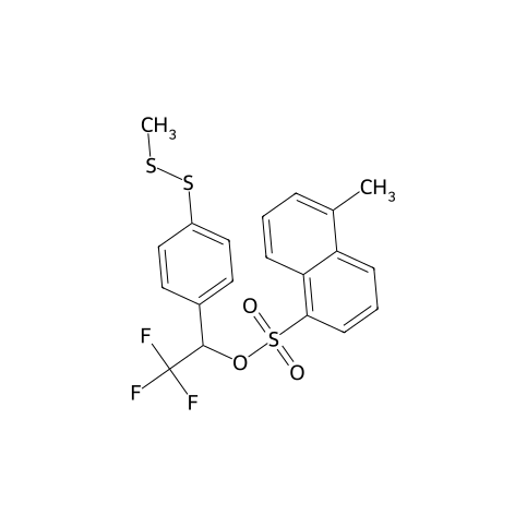 CSSc1ccc(C(OS(=O)(=O)c2cccc3c(C)cccc23)C(F)(F)F)cc1